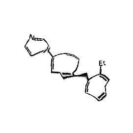 CCc1ccccc1-c1ccc(-n2ccnc2)cc1